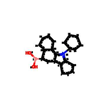 OB(O)c1cc2c3ccccc3n(-c3ccccc3)c2c2ccccc12